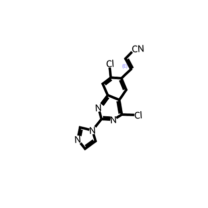 N#C/C=C/c1cc2c(Cl)nc(-n3ccnc3)nc2cc1Cl